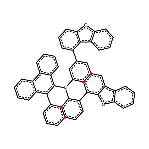 c1ccc(-c2c(N(c3cccc(-c4cccc5oc6ccccc6c45)c3)c3ccccc3-c3cccc4c3oc3ccccc34)c3ccccc3c3ccccc23)cc1